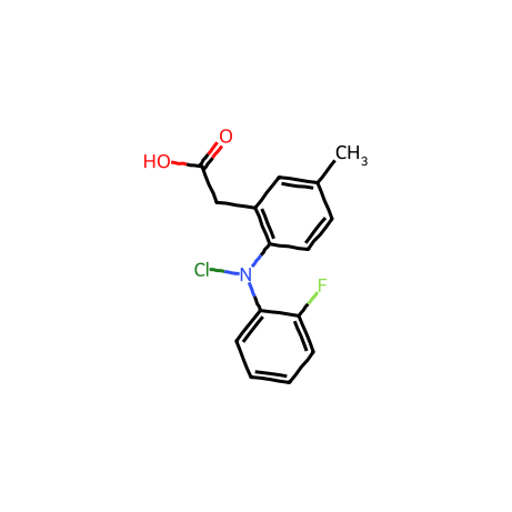 Cc1ccc(N(Cl)c2ccccc2F)c(CC(=O)O)c1